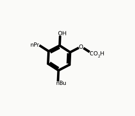 CCCCc1cc(CCC)c(O)c(OC(=O)O)c1